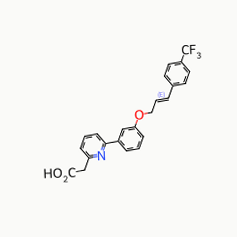 O=C(O)Cc1cccc(-c2cccc(OC/C=C/c3ccc(C(F)(F)F)cc3)c2)n1